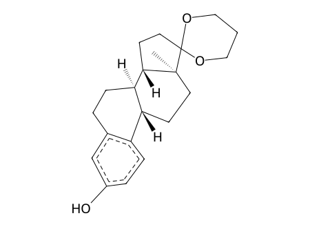 C[C@]12CC[C@@H]3c4ccc(O)cc4CC[C@H]3[C@@H]1CCC21OCCCO1